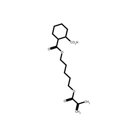 C=C(C)C(=O)OCCCCCOC(=O)C1CCCCC1C(=O)O